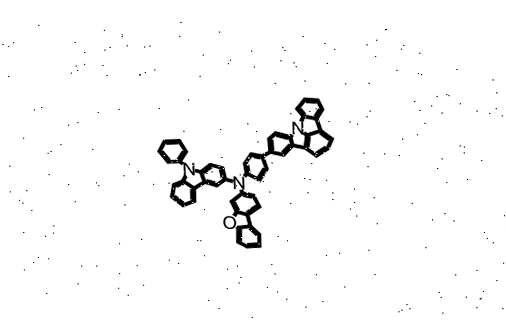 c1ccc(-n2c3ccccc3c3cc(N(c4ccc(-c5ccc6c(c5)c5cccc7c8ccccc8n6c75)cc4)c4ccc5c(c4)oc4ccccc45)ccc32)cc1